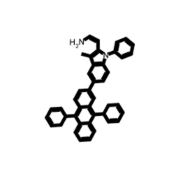 Cc1c(/C=C\N)n(-c2ccccc2)c2ccc(-c3ccc4c(C5C=CC=CC5)c5ccccc5c(C5C=CC=CC5)c4c3)cc12